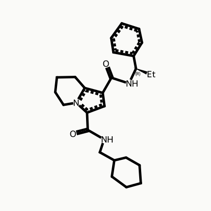 CC[C@@H](NC(=O)c1cc(C(=O)NCC2CCCCC2)n2c1CCCC2)c1ccccc1